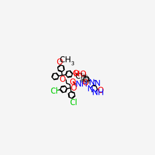 COc1ccc(C(OCCCC(OC(=O)NC[C@H]2O[C@@H](n3cnc4c(=O)[nH]cnc43)C[C@H]2O)(c2ccc(Cl)cc2)c2ccc(Cl)cc2)(c2ccccc2)c2ccc(OC)cc2)cc1